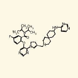 CC(C)N(C(=O)c1cc(F)ccc1Oc1cncnc1N1CC[C@@H](CN2CCC3(CCC(Nc4ccncn4)CC3)CC2)C1)C(C)C